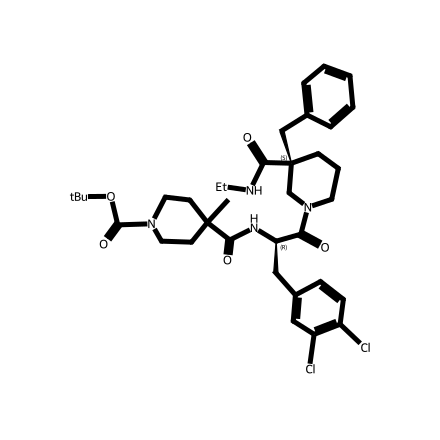 CCNC(=O)[C@]1(Cc2ccccc2)CCCN(C(=O)[C@@H](Cc2ccc(Cl)c(Cl)c2)NC(=O)C2(C)CCN(C(=O)OC(C)(C)C)CC2)C1